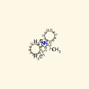 CCCCC1=C(CCC)N(C2CCCCCCCCCC2)N(C)C1C1CCCCCCCCCC1